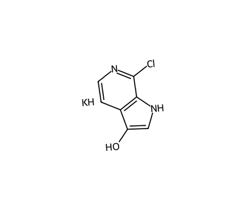 Oc1c[nH]c2c(Cl)nccc12.[KH]